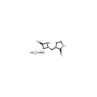 O=C(O)N[C@@H]1C(=O)N[C@H]1CN1CCOC1=O